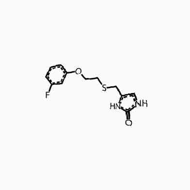 O=c1[nH]cc(CSCCOc2cccc(F)c2)[nH]1